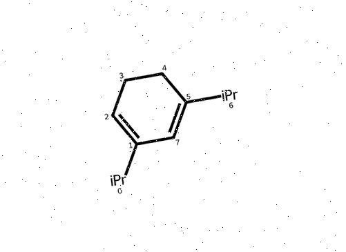 CC(C)C1=C[CH]CC(C(C)C)=C1